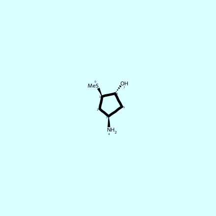 CS[C@@H]1C[C@H](N)C[C@H]1O